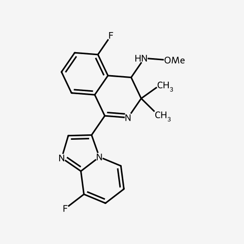 CONC1c2c(F)cccc2C(c2cnc3c(F)cccn23)=NC1(C)C